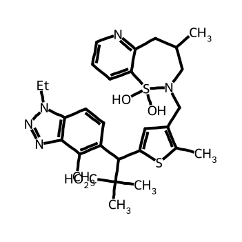 CCn1nnc2c(C)c(C(c3cc(CN4CC(C)Cc5ncccc5S4(O)O)c(C)s3)C(C)(C)C(=O)O)ccc21